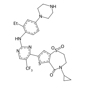 CCc1cc(N2CCNCC2)ccc1Nc1ncc(C(F)(F)F)c(-c2cc3c(s2)C(=O)N(C2CC2)CCS3(=O)=O)n1